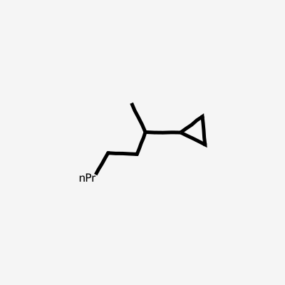 CCCCCC(C)C1CC1